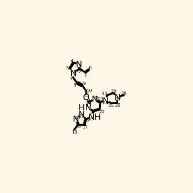 C=Cc1nccn1CC#CCOc1nc(Nc2cc(C)n[nH]2)cc(N2CCN(C)CC2)n1